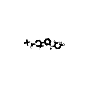 CN(c1cccc(C2CCN(C(=O)OC(C)(C)C)CC2(F)F)c1)C1CCC(=O)NC1=O